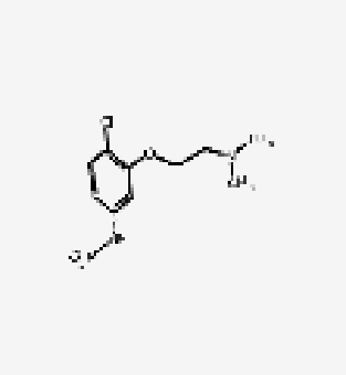 CN(C)CCOc1cc(N[N+](=O)[O-])ccc1Cl